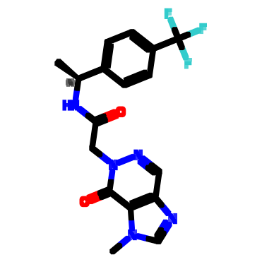 C[C@H](NC(=O)Cn1ncc2ncn(C)c2c1=O)c1ccc(C(F)(F)F)cc1